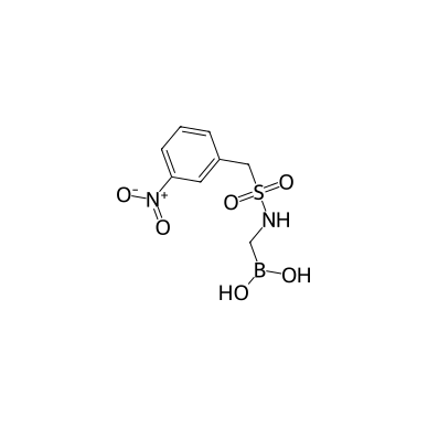 O=[N+]([O-])c1cccc(CS(=O)(=O)NCB(O)O)c1